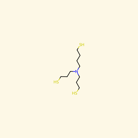 SCCCCN(CCCS)CCCS